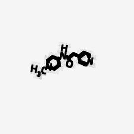 CN1CCC(NC(=O)Cc2ccncc2)CC1